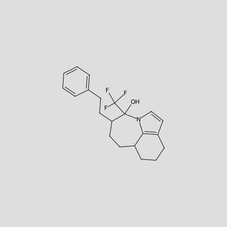 OC1(C(F)(F)F)C(CCc2ccccc2)CCC2CCCc3ccn1c32